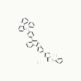 C=C/C(=C\c1nc(-c2ccccc2)oc1C)c1ccc2c(c1)oc1cc(-c3ccc(N(c4ccccc4)c4cccc5sc6ccccc6c45)cc3)c3ccccc3c12